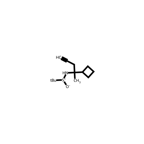 C#CCC(C)(N[S+]([O-])C(C)(C)C)C1CCC1